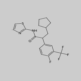 O=C(Nc1n[c]cs1)C(CC1CCCC1)c1ccc(F)c(C(F)(F)F)c1